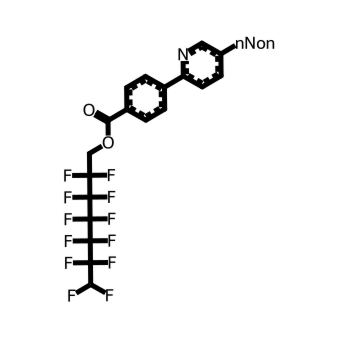 CCCCCCCCCc1ccc(-c2ccc(C(=O)OCC(F)(F)C(F)(F)C(F)(F)C(F)(F)C(F)(F)C(F)F)cc2)nc1